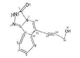 O=c1[nH]nc2c3ccccc3c(C#CCO)cn12